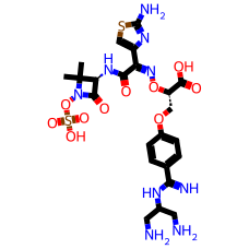 CC1(C)[C@H](NC(=O)/C(=N\O[C@@H](COc2ccc(C(=N)NC(CN)CN)cc2)C(=O)O)c2csc(N)n2)C(=O)N1OS(=O)(=O)O